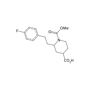 COC(=O)N1CCC(C(=O)O)CC1CCc1ccc(F)cc1